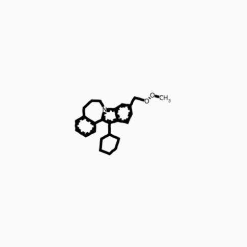 COOCc1ccc2c(C3CCCCC3)c3n(c2c1)CCCc1ccccc1-3